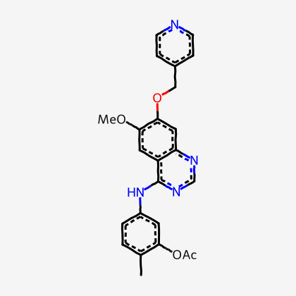 COc1cc2c(Nc3ccc(C)c(OC(C)=O)c3)ncnc2cc1OCc1ccncc1